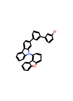 Brc1cccc(-c2cccc(-c3ccc4c5ccccc5n(-c5cccc6oc7ccccc7c56)c4c3)c2)c1